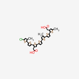 Cc1cc(CC(=O)O)c(-c2ccc(-c3sc(-c4ccc(-c5cc(CC(=O)O)c(-c6ccc(-c7sc(Cl)cc7C)s6)s5)s4)cc3C)s2)s1